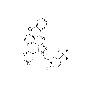 O=C(c1ccccc1Cl)c1cccnc1-c1nnn(Cc2cc(C(F)(F)F)ccc2F)c1-c1cncnc1